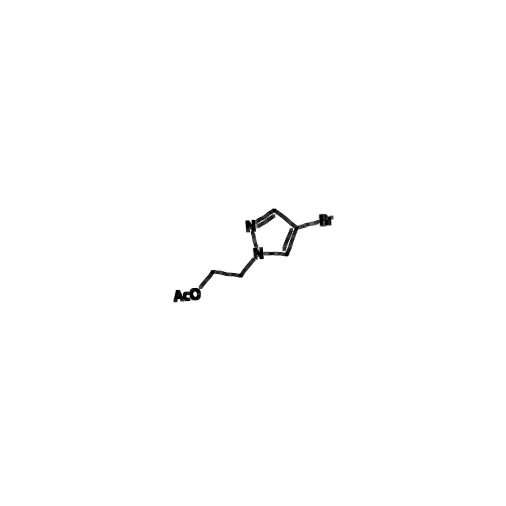 CC(=O)OCCn1cc(Br)cn1